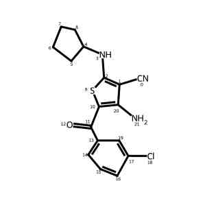 N#Cc1c(NC2CCCC2)sc(C(=O)c2cccc(Cl)c2)c1N